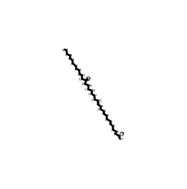 CCCCCCCCCCCCCC(=O)CCCCCCCCCCCCCCCCCCCCCC(C)=O